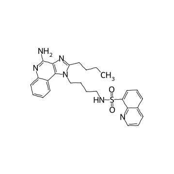 CCCCc1nc2c(N)nc3ccccc3c2n1CCCCNS(=O)(=O)c1cccc2cccnc12